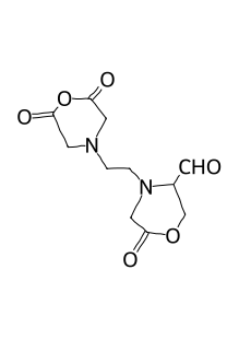 O=CC1COC(=O)CN1CCN1CC(=O)OC(=O)C1